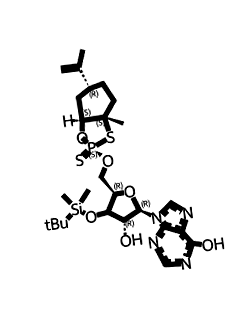 C=C(C)[C@@H]1CC[C@]2(C)S[P@@](=S)(OC[C@H]3O[C@@H](n4cnc5c(O)ncnc54)[C@H](O)C3O[Si](C)(C)C(C)(C)C)O[C@H]2C1